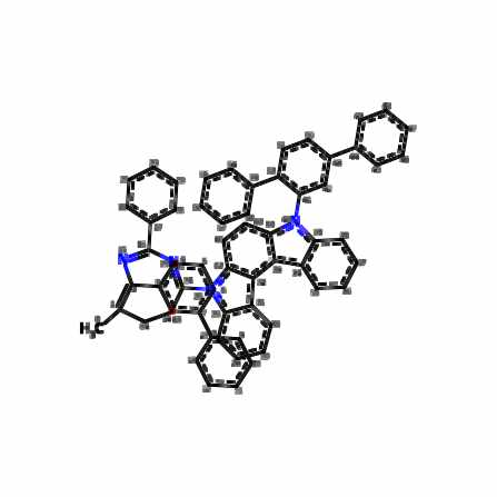 C\C1=C(c2cccc(-c3ccccc3)c2)/N=C(c2ccccc2)\N=C(\n2c3ccccc3c3c4c5ccccc5n(-c5cc(-c6ccccc6)ccc5-c5ccccc5)c4ccc32)CC1